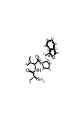 CC(C)[C@H](NC(=O)[C@H](C)N)C(=O)N1CCC[C@H]1Cc1occ2ccccc12